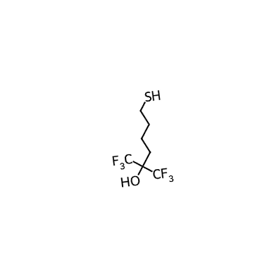 OC(CCCCS)(C(F)(F)F)C(F)(F)F